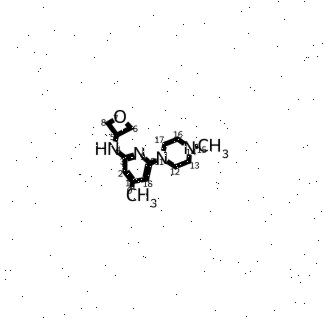 Cc1cc(NC2COC2)nc(N2CCN(C)CC2)c1